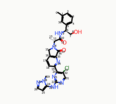 Cc1cccc([C@@H](CO)NC(=O)[C@@H](C)N2Cc3ccc(-c4nc(Nc5ccnn5C)ncc4Cl)nc3C2=O)c1